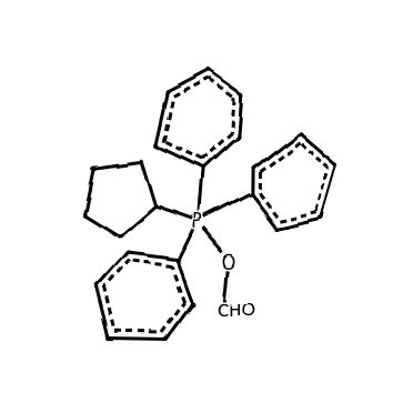 O=COP(c1ccccc1)(c1ccccc1)(c1ccccc1)C1CCCC1